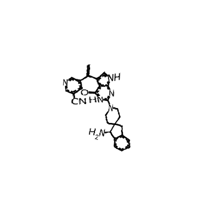 C=C(c1cncc(C#N)c1)c1c[nH]c2nc(N3CCC4(CC3)Cc3ccccc3[C@H]4N)[nH]c(=O)c12